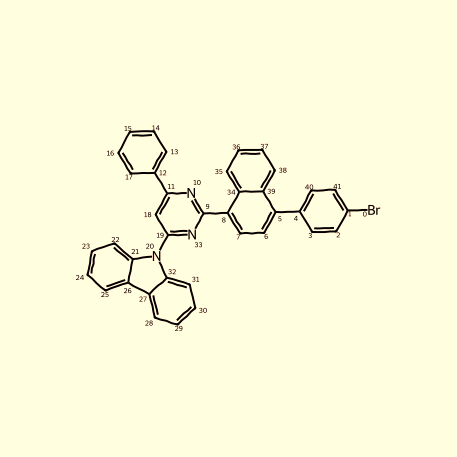 Brc1ccc(-c2ccc(-c3nc(-c4ccccc4)cc(-n4c5ccccc5c5ccccc54)n3)c3ccccc23)cc1